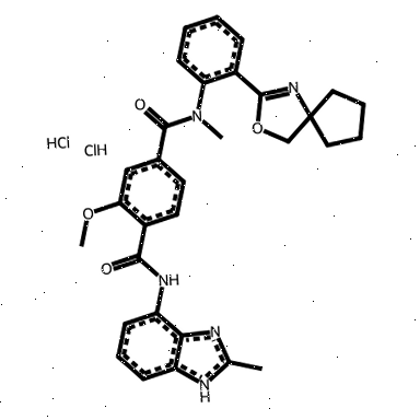 COc1cc(C(=O)N(C)c2ccccc2C2=NC3(CCCC3)CO2)ccc1C(=O)Nc1cccc2[nH]c(C)nc12.Cl.Cl